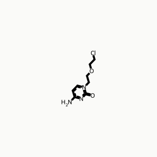 Nc1ccn(CCOCCCl)c(=O)n1